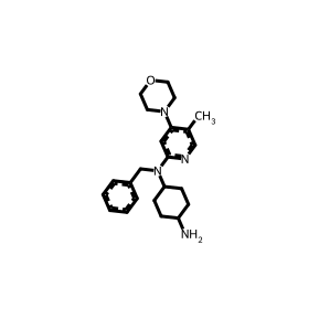 Cc1cnc(N(Cc2ccccc2)C2CCC(N)CC2)cc1N1CCOCC1